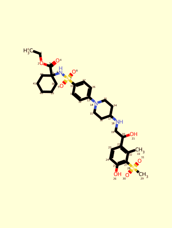 CCOC(=O)C1(NS(=O)(=O)c2ccc(N3CCC(NCC(O)c4ccc(O)c(S(C)(=O)=O)c4C)CC3)cc2)CCCCC1